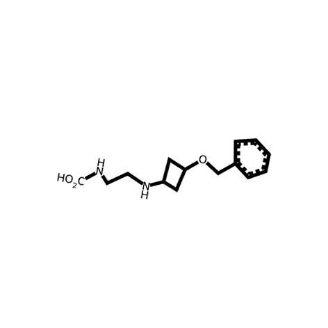 O=C(O)NCCNC1CC(OCc2ccccc2)C1